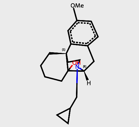 COc1ccc2c(c1)[C@@]13CCCCC1(O)[C@@H](C2)N(CC1CC1)CC3